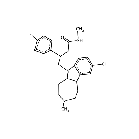 CNC(=O)CC(CN1c2ccc(C)cc2C2CCN(C)CCC21)c1ccc(F)cc1